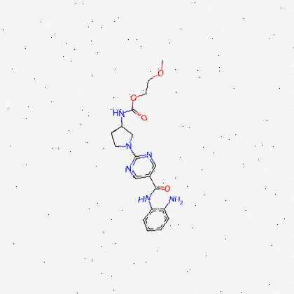 COCCOC(=O)NC1CCN(c2ncc(C(=O)Nc3ccccc3N)cn2)C1